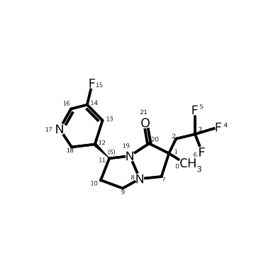 CC1(CC(F)(F)F)CN2CC[C@@H](C3C=C(F)C=NC3)N2C1=O